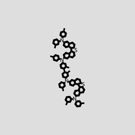 Cc1ccc(N(c2cccc(C)c2)c2ccc3c(ccc4sc5ccc6cc(N(c7ccc(C)cc7)c7ccc(-c8ccc(N(c9cccc(C)c9)c9ccc%10c(ccc%11sc%12ccc%13cc(N(c%14cccc(C)c%14)c%14cccc(C)c%14)ccc%13c%12c%11%10)c9)cc8C)c(C)c7)ccc6c5c43)c2)cc1